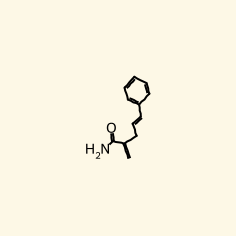 C=C(CC=Cc1ccccc1)C(N)=O